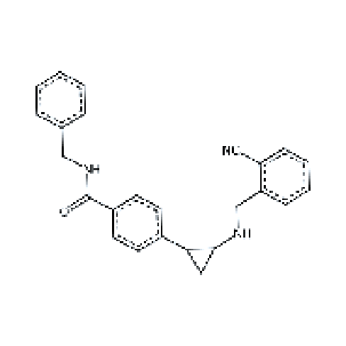 N#Cc1ccccc1CNC1CC1c1ccc(C(=O)NCc2ccccc2)cc1